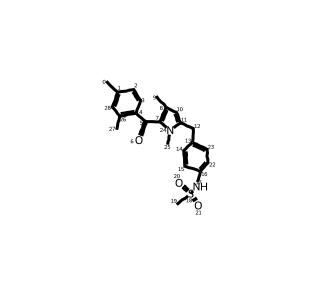 Cc1ccc(C(=O)c2c(C)cc(Cc3ccc(NS(C)(=O)=O)cc3)n2C)c(C)c1